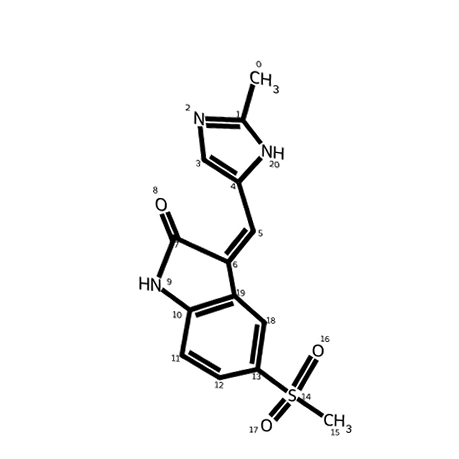 Cc1ncc(C=C2C(=O)Nc3ccc(S(C)(=O)=O)cc32)[nH]1